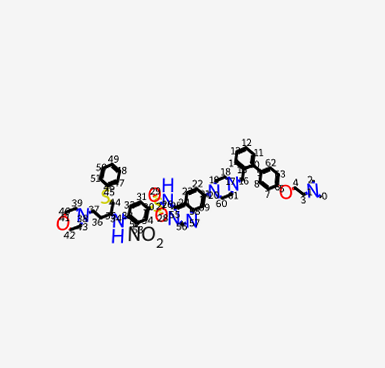 CN(C)CCOc1ccc(-c2ccccc2CN2CCN(c3ccc4c(NS(=O)(=O)c5ccc(NC(CCN6CCOCC6)CSc6ccccc6)c([N+](=O)[O-])c5)ncnc4c3)CC2)cc1